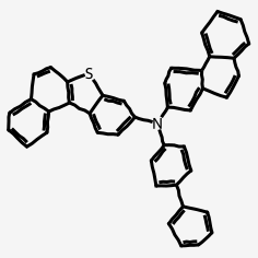 c1ccc(-c2ccc(N(c3ccc4c(ccc5ccccc54)c3)c3ccc4c(c3)sc3ccc5ccccc5c34)cc2)cc1